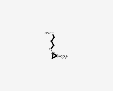 CCCCCCCCC[C@H]1C[C@@H]1C(=O)O